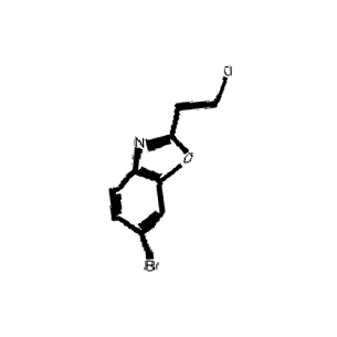 ClCCc1nc2ccc(Br)cc2o1